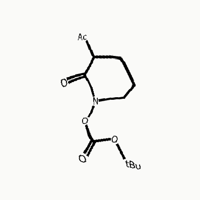 CC(=O)C1CCCN(OC(=O)OC(C)(C)C)C1=O